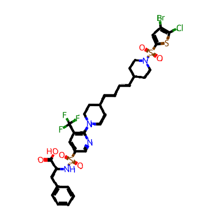 O=C(O)C(Cc1ccccc1)NS(=O)(=O)c1cnc(N2CCC(CCCCC3CCN(S(=O)(=O)c4cc(Br)c(Cl)s4)CC3)CC2)c(C(F)(F)F)c1